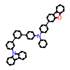 c1ccc(N(c2ccc(-c3cccc(-c4cccc(-n5c6ccccc6c6ccccc65)c4)c3)cc2)c2ccc(-c3ccc4c(c3)oc3ccccc34)cc2)cc1